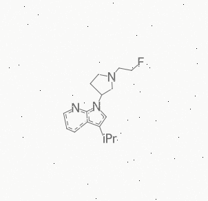 CC(C)c1cn(C2CCN(CCF)C2)c2ncccc12